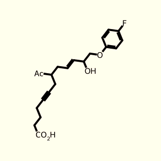 CC(=O)C(CC#CCCCC(=O)O)C/C=C/C(O)COc1ccc(F)cc1